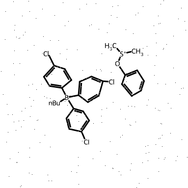 CCCC[B-](c1ccc(Cl)cc1)(c1ccc(Cl)cc1)c1ccc(Cl)cc1.C[S+](C)Oc1ccccc1